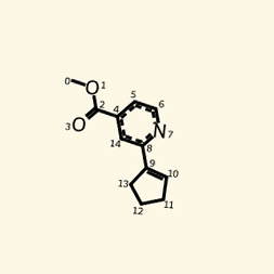 COC(=O)c1ccnc(C2=CCCC2)c1